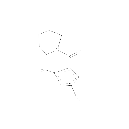 CCc1cc(C(=O)N2CCCCC2)c(Br)s1